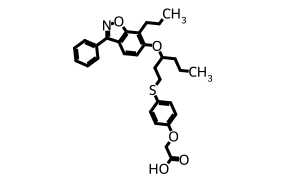 CCCc1c(OC(CCC)CCSc2ccc(OCC(=O)O)cc2)ccc2c(-c3ccccc3)noc12